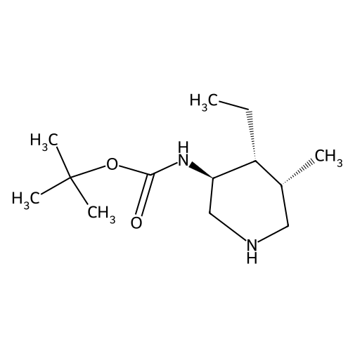 CC[C@@H]1[C@H](C)CNC[C@H]1NC(=O)OC(C)(C)C